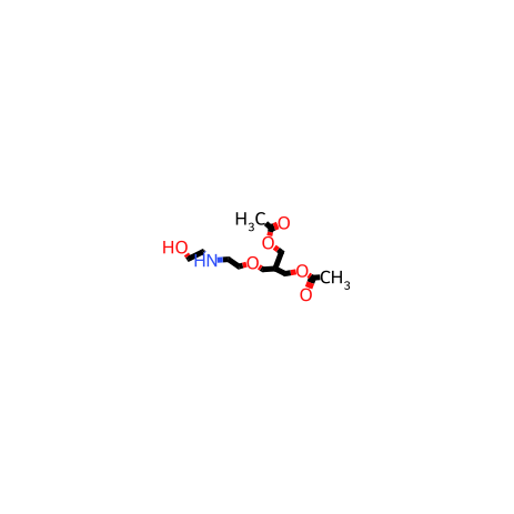 CC(=O)OCC(COCCNCCO)COC(C)=O